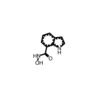 O=C(NO)c1cccc2cc[nH]c12